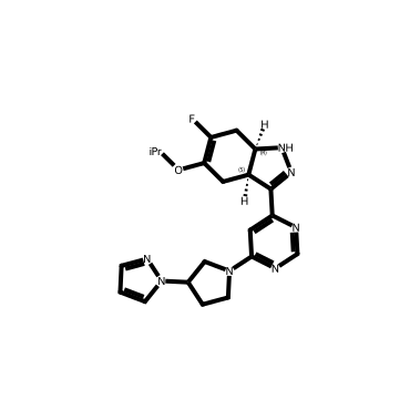 CC(C)OC1=C(F)C[C@H]2NN=C(c3cc(N4CCC(n5cccn5)C4)ncn3)[C@H]2C1